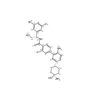 B[C@]1(O)CC[C@H](c2cnc(N)c(-c3ccc(C(=O)N[C@H](CO)c4cc(F)cc(Br)c4)c(F)c3)n2)CC1